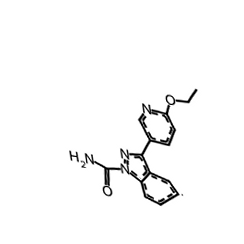 CCOc1ccc(-c2nn(C(N)=O)c3cc[c]cc23)cn1